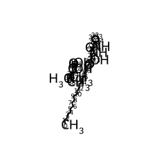 CCCCCCCCCCCCCCCCCCCCOCC(O)CNC(=O)Nc1ccccc1.C[N+](C)(C)CCOP(=O)(O)O